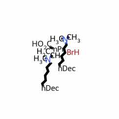 Br.C=C(CCC)C(=O)O.CCCCCCCCCCCCCCCCN(C)C.CCCCCCCCCCCCCCCCN(C)C